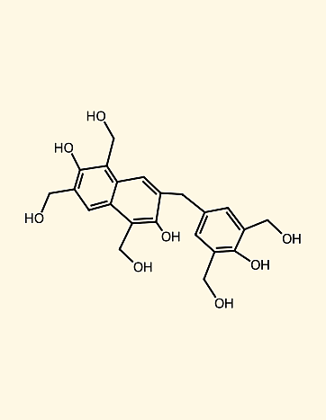 OCc1cc(Cc2cc3c(CO)c(O)c(CO)cc3c(CO)c2O)cc(CO)c1O